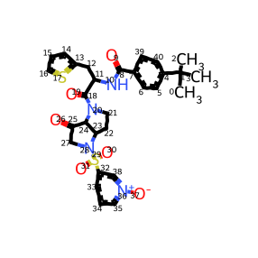 CC(C)(C)c1ccc(C(=O)NC(Cc2cccs2)C(=O)N2CCC3C2C(=O)CN3S(=O)(=O)c2ccc[n+]([O-])c2)cc1